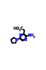 Nc1ncc(N2CCCC2)nc1CC(=O)O